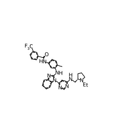 CCN1CCC[C@@H]1CNc1cc(-n2c(Nc3cc(NC(=O)c4cccc(C(F)(F)F)c4)ccc3C)nc3ccccc32)ncn1